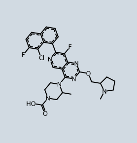 CC1CN(C(=O)O)CCN1c1nc(OCC2CCCN2C)nc2c(F)c(-c3cccc4ccc(F)c(Cl)c34)ncc12